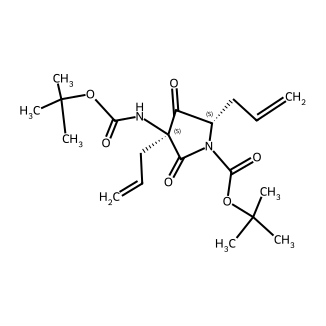 C=CC[C@H]1C(=O)[C@](CC=C)(NC(=O)OC(C)(C)C)C(=O)N1C(=O)OC(C)(C)C